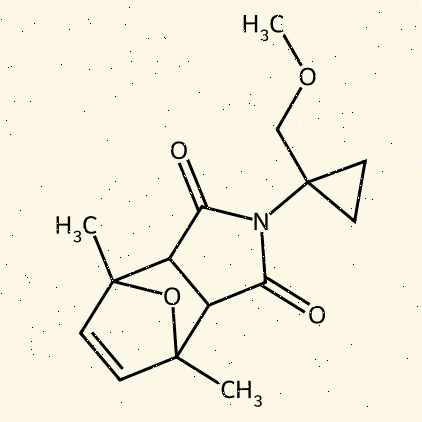 COCC1(N2C(=O)C3C(C2=O)C2(C)C=CC3(C)O2)CC1